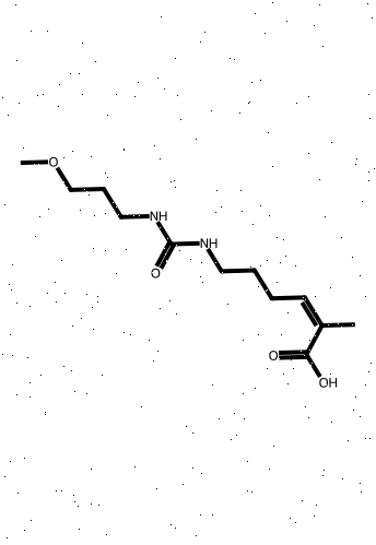 COCCCNC(=O)NCCCC=C(C)C(=O)O